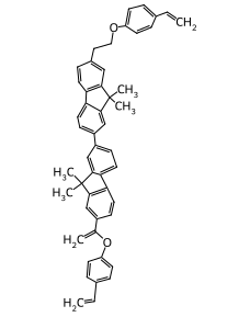 C=Cc1ccc(OCCc2ccc3c(c2)C(C)(C)c2cc(-c4ccc5c(c4)C(C)(C)c4cc(C(=C)Oc6ccc(C=C)cc6)ccc4-5)ccc2-3)cc1